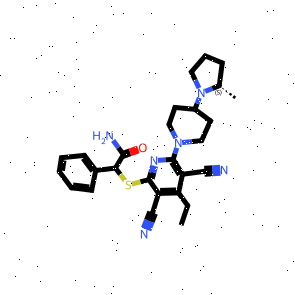 CCc1c(C#N)c(SC(C(N)=O)c2ccccc2)nc(N2CCC(N3CCC[C@@H]3C)CC2)c1C#N